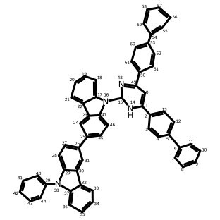 C1=C(c2ccc(-c3ccccc3)cc2)NC(n2c3ccccc3c3cc(-c4ccc5c(c4)c4ccccc4n5-c4ccccc4)ccc32)N=C1c1ccc(-c2ccccc2)cc1